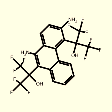 Nc1ccc2c(N)c(C(O)(C(F)(F)F)C(F)(F)F)c3ccccc3c2c1C(O)(C(F)(F)F)C(F)(F)F